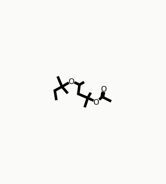 CCC(C)(C)OC(C)CC(C)(C)OC(C)=O